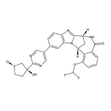 O=C1N[C@@H]2C[C@H](c3c(OC(F)F)cccc31)n1c2nc2ccc(-c3cnc([C@]4(O)CC[S@@+]([O-])C4)nc3)cc21